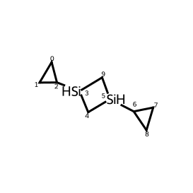 C1CC1[SiH]1C[SiH](C2CC2)C1